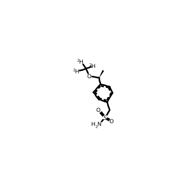 [2H]C([2H])([2H])O[C@@H](C)c1ccc(CS(N)(=O)=O)cc1